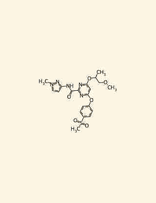 COCC(C)Oc1cc(Oc2ccc(S(C)(=O)=O)cc2)nc(C(=O)Nc2ccn(C)n2)n1